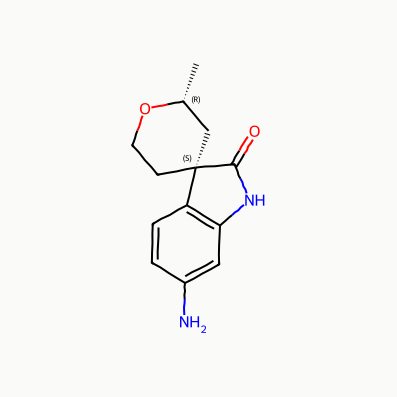 C[C@@H]1C[C@]2(CCO1)C(=O)Nc1cc(N)ccc12